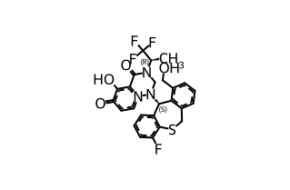 C[C@@H](N1CN([C@@H]2c3cccc(F)c3SCc3cccc(CO)c32)n2ccc(=O)c(O)c2C1=O)C(F)(F)F